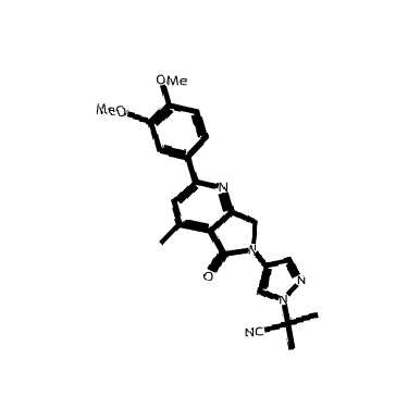 COc1ccc(-c2cc(C)c3c(n2)CN(c2cnn(C(C)(C)C#N)c2)C3=O)cc1OC